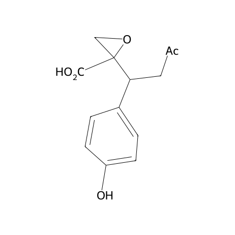 CC(=O)CC(c1ccc(O)cc1)C1(C(=O)O)CO1